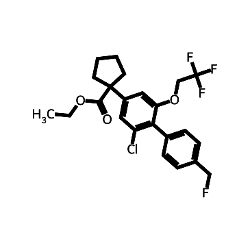 CCOC(=O)C1(c2cc(Cl)c(-c3ccc(CF)cc3)c(OCC(F)(F)F)c2)CCCC1